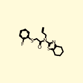 C=CCN(C(=O)CSc1ccccc1F)c1nc2c(s1)CCCC2